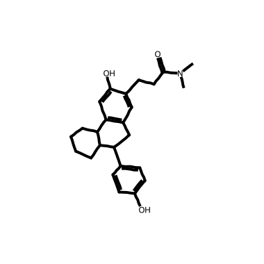 CN(C)C(=O)CCc1cc2c(cc1O)C1CCCCC1C(c1ccc(O)cc1)C2